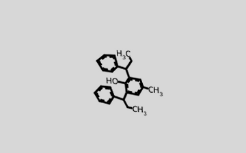 CCC(c1ccccc1)c1cc(C)cc(C(CC)c2ccccc2)c1O